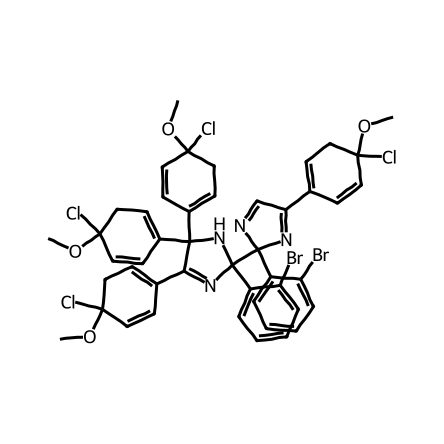 COC1(Cl)C=CC(C2=NC(c3ccccc3Br)(C3(c4ccccc4Br)N=C(C4=CCC(Cl)(OC)C=C4)C(C4=CCC(Cl)(OC)C=C4)(C4=CCC(Cl)(OC)C=C4)N3)N=C2)=CC1